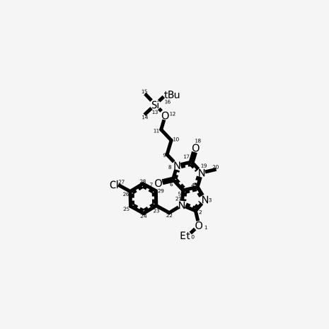 CCOc1nc2c(c(=O)n(CCCO[Si](C)(C)C(C)(C)C)c(=O)n2C)n1Cc1ccc(Cl)cc1